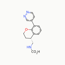 O=C(O)NC[C@@H]1CCOc2c(-c3ccnnc3)cccc21